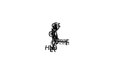 CCNC(=O)c1ccc(-n2cc(C(=O)N3CCN(S(=O)(=O)CC)CC3)nn2)c(OCCCCCCF)c1